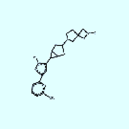 CC(C)n1nc(-c2cccc(C(F)(F)F)n2)cc1C1C2CC(N3CCC4(C3)C[S+]([O-])C4)CC21